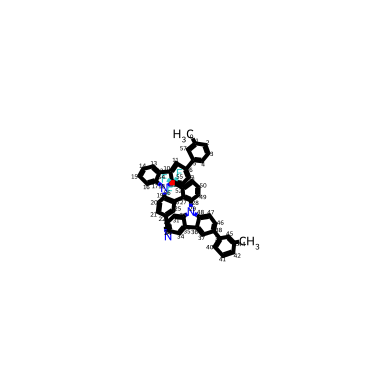 Cc1cccc(-c2ccc3c(c2)c2ccccc2n3-c2ccc(C#N)cc2-c2c(-n3c4ccccc4c4cc(-c5cccc(C)c5)ccc43)cccc2C(F)(F)F)c1